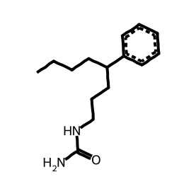 CCCCC(CCCNC(N)=O)c1ccccc1